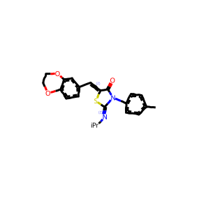 Cc1ccc(N2C(=O)/C(=C/c3ccc4c(c3)OCCO4)S/C2=N\C(C)C)cc1